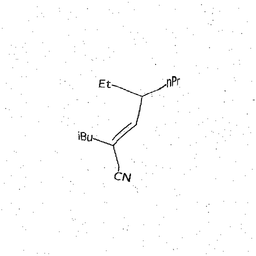 CCCC(/C=C(/C#N)C(C)CC)CC